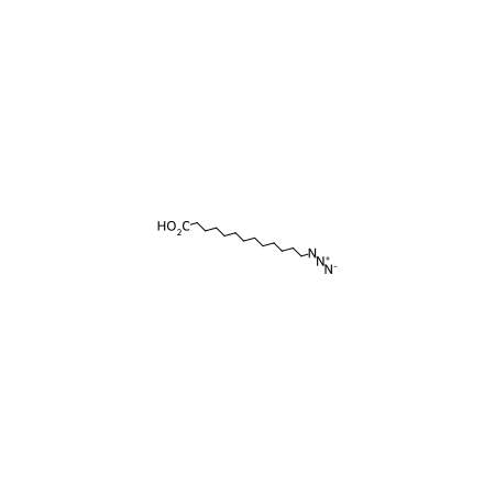 [N-]=[N+]=NCCCCCCCCCCCCC(=O)O